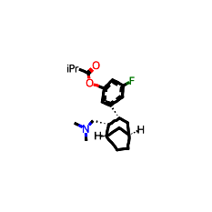 CC(C)C(=O)Oc1cc(F)cc([C@@H]2C[C@H]3CC[C@H](C3)[C@@H]2CN(C)C)c1